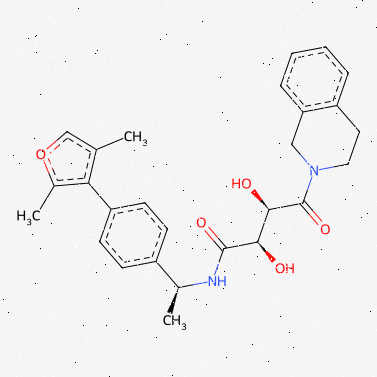 Cc1coc(C)c1-c1ccc([C@H](C)NC(=O)[C@H](O)[C@@H](O)C(=O)N2CCc3ccccc3C2)cc1